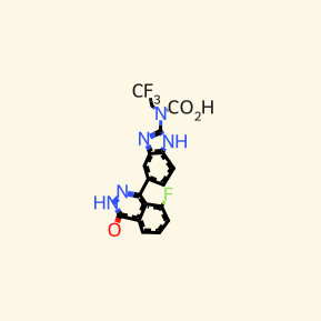 O=C(O)N(CC(F)(F)F)c1nc2cc(-c3n[nH]c(=O)c4cccc(F)c34)ccc2[nH]1